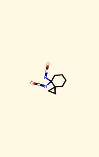 O=C=NC1(N=C=O)CCCCC12CC2